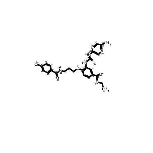 CCOC(=O)c1ccc(OCCCNC(=O)c2ccc(Cl)cc2)c(NC(=O)Nc2cnc(C)cn2)c1